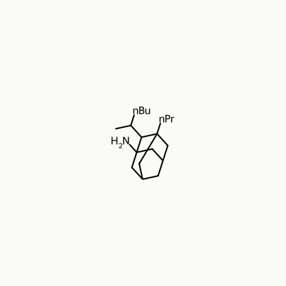 CCCCC(C)C1C2(N)CC3CC(C2)CC1(CCC)C3